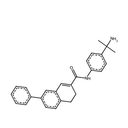 CC(C)(N)c1ccc(NC(=O)C2=Cc3cc(-c4ccccc4)ccc3CC2)cc1